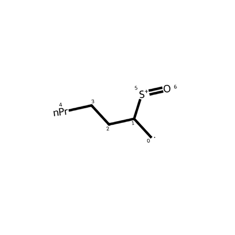 [CH2]C(CCCCC)[S+]=O